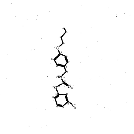 CCCCOc1ccc(CNC(=O)Oc2cccc(Cl)c2)cc1